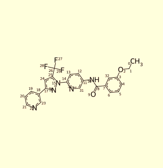 CCOc1cccc(C(=O)Nc2ccc(-n3nc(-c4cccnc4)cc3C(F)(F)F)nc2)c1